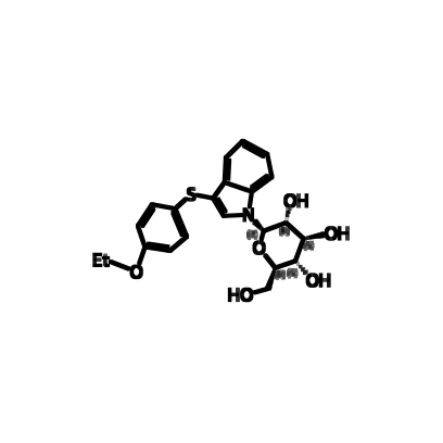 CCOc1ccc(Sc2cn([C@@H]3O[C@H](CO)[C@@H](O)[C@H](O)[C@H]3O)c3ccccc23)cc1